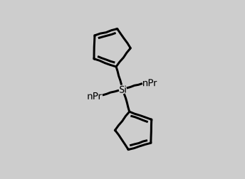 CCC[Si](CCC)(C1=CC=CC1)C1=CC=CC1